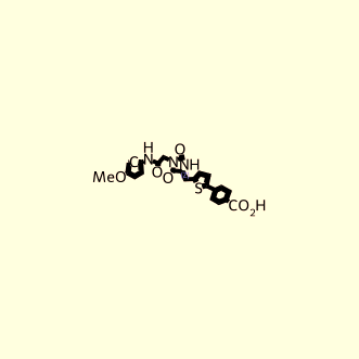 COc1ccc(NC(=O)CN2C(=O)N/C(=C\c3ccc(-c4ccc(C(=O)O)cc4)s3)C2=O)cc1